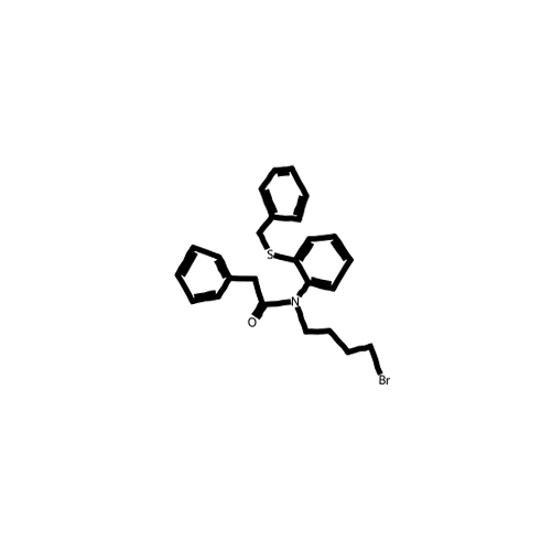 O=C(Cc1ccccc1)N(CCCCBr)c1ccccc1SCc1ccccc1